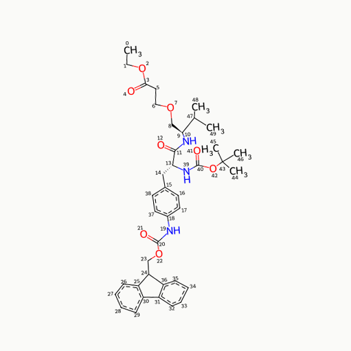 CCOC(=O)CCOC[C@H](NC(=O)[C@@H](Cc1ccc(NC(=O)OCC2c3ccccc3-c3ccccc32)cc1)NC(=O)OC(C)(C)C)C(C)C